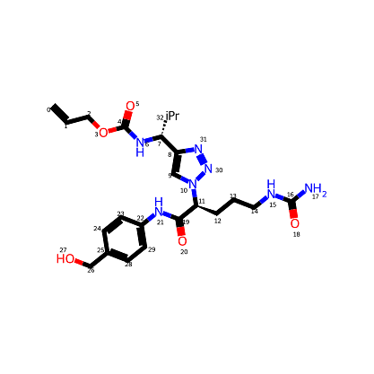 C=CCOC(=O)N[C@@H](c1cn([C@@H](CCCNC(N)=O)C(=O)Nc2ccc(CO)cc2)nn1)C(C)C